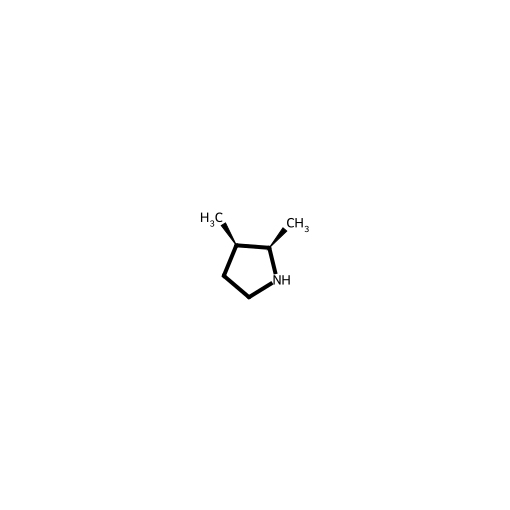 C[C@@H]1CCN[C@@H]1C